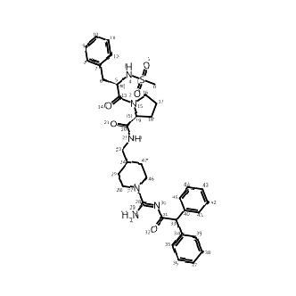 CS(=O)(=O)N[C@H](Cc1ccccc1)C(=O)N1CCC[C@H]1C(=O)NCC1CCN(C(N)=NC(=O)C(c2ccccc2)c2ccccc2)CC1